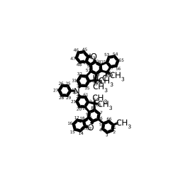 Cc1cccc(-c2cc3c(c4c2oc2ccccc24)-c2ccc(N(c4ccccc4)c4ccc5c(c4)C(C)(C)c4c6c(c7oc8ccccc8c7c4-5)-c4ccccc4C6(C)C)cc2C3(C)C)c1